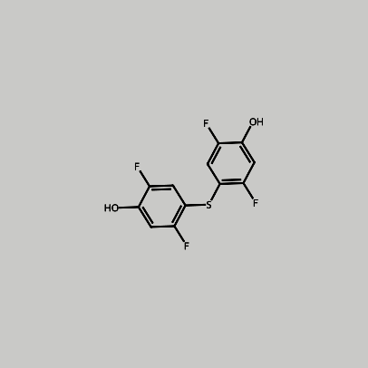 Oc1cc(F)c(Sc2cc(F)c(O)cc2F)cc1F